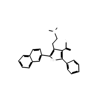 CN(C)CCc1c(-c2ccc3ccccc3c2)[nH]c(-c2ccccc2)c1C(N)=O